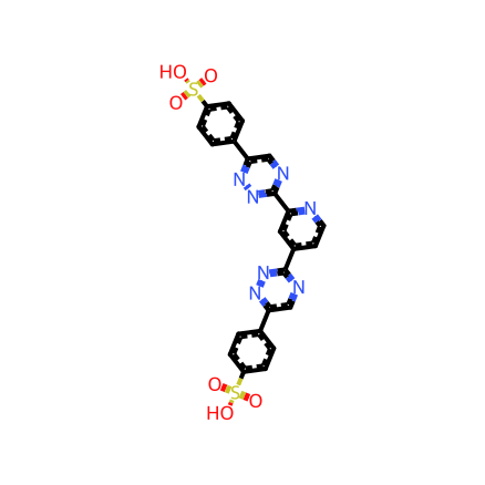 O=S(=O)(O)c1ccc(-c2cnc(-c3ccnc(-c4ncc(-c5ccc(S(=O)(=O)O)cc5)nn4)c3)nn2)cc1